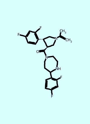 C=C(C)N1C[C@@H](C(=O)N2CCNC(c3ccc(F)cc3F)CC2)[C@H](c2ccc(F)cc2F)C1